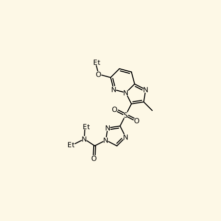 CCOc1ccc2nc(C)c(S(=O)(=O)c3ncn(C(=O)N(CC)CC)n3)n2n1